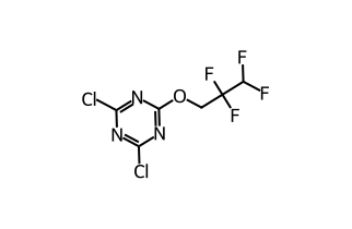 FC(F)C(F)(F)COc1nc(Cl)nc(Cl)n1